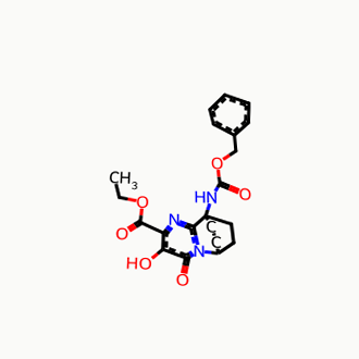 CCOC(=O)c1nc2n(c(=O)c1O)C1CCC2(NC(=O)OCc2ccccc2)CC1